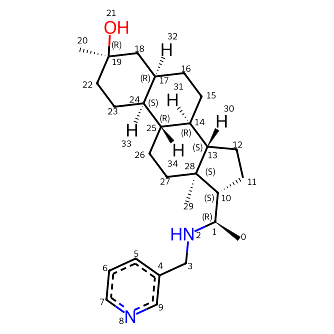 C[C@@H](NCc1cccnc1)[C@H]1CC[C@H]2[C@@H]3CC[C@@H]4C[C@](C)(O)CC[C@@H]4[C@H]3CC[C@]12C